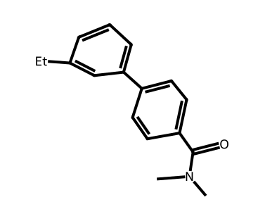 CCc1cccc(-c2ccc(C(=O)N(C)C)cc2)c1